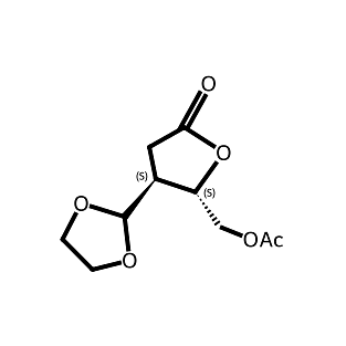 CC(=O)OC[C@H]1OC(=O)C[C@@H]1C1OCCO1